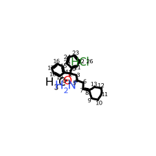 COC(CC(N)CC=C1CCCCC1)(c1ccccc1)c1ccccc1.Cl